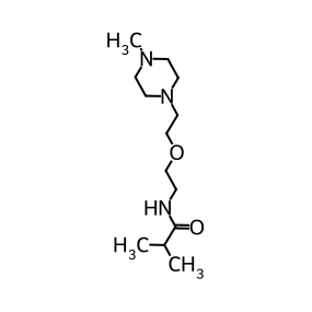 CC(C)C(=O)NCCOCCN1CCN(C)CC1